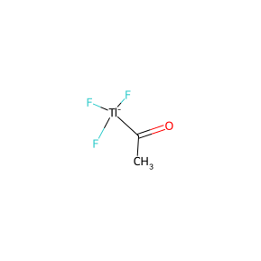 C[C](=O)[Tl-]([F])([F])[F]